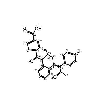 CC(=O)N(c1ccc(Cl)cc1)[C@@H]1C[C@H](C)N(C(=O)c2ccc(C(=O)O)cc2)c2ccccc21